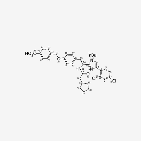 CCCCn1cc(-c2ccc(Cl)cc2Cl)nc1[C@H](Cc1ccc(OCc2ccc(C(=O)O)cc2)cc1)NC(=O)CC1CCCC1